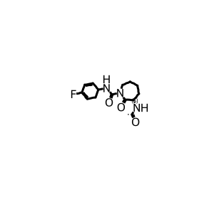 O=[C]N[C@H]1CCCCN(C(=O)NC2C=CC(F)=CC2)C1=O